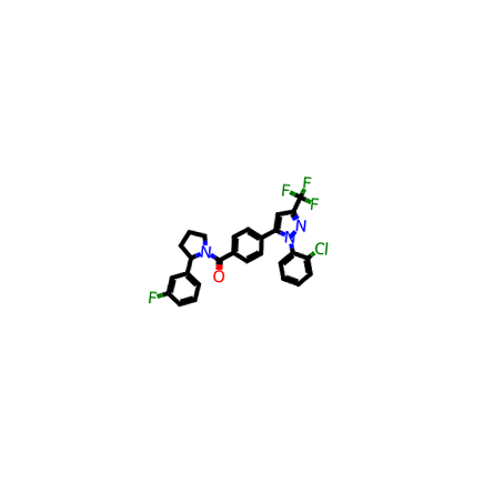 O=C(c1ccc(-c2cc(C(F)(F)F)nn2-c2ccccc2Cl)cc1)N1CCCC1c1cccc(F)c1